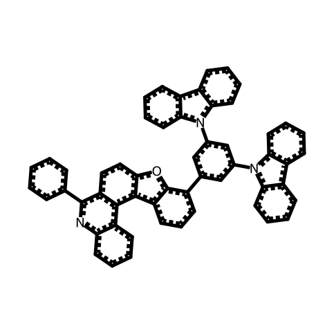 c1ccc(-c2nc3ccccc3c3c2ccc2oc4c(-c5cc(-n6c7ccccc7c7ccccc76)cc(-n6c7ccccc7c7ccccc76)c5)cccc4c23)cc1